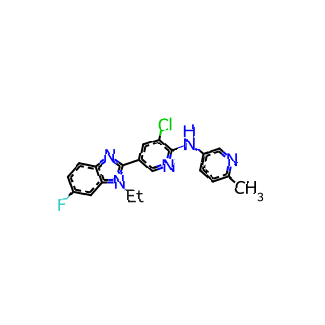 CCn1c(-c2cnc(Nc3ccc(C)nc3)c(Cl)c2)nc2ccc(F)cc21